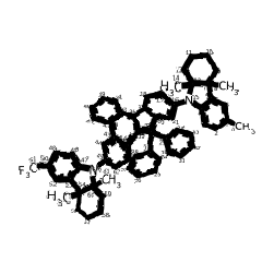 Cc1ccc2c(c1)C1(C)CCCCC1(C)N2c1ccc2c(c1)C(c1ccccc1)(c1ccccc1)c1c-2c2ccccc2c2cc(N3c4ccc(C(F)(F)F)cc4C4(C)CCCCC34C)ccc12